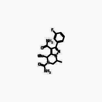 CC1CN(C(N)=O)C(C(C)(C)C)c2c(C(N)=O)c(-c3cccc(F)c3)nn21